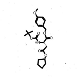 COc1ccc(COC(=O)[C@H](CC(=O)OC2CCCC2)NC(=O)OC(C)(C)C)cc1